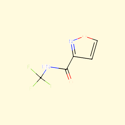 O=C(NC(F)(F)F)c1ccon1